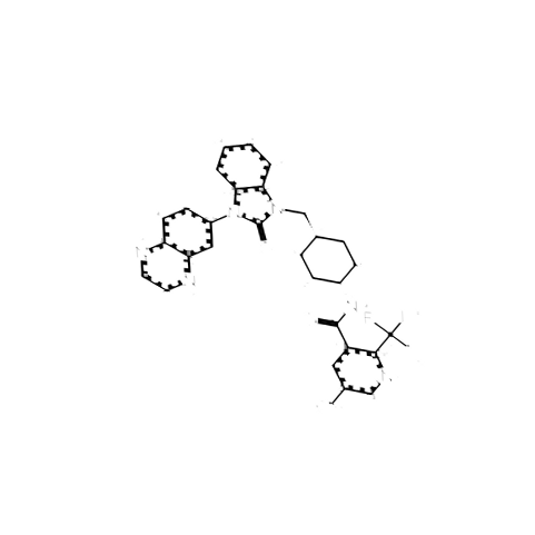 O=C(N[C@H]1CC[C@H](Cn2c(=O)n(-c3ccc4nccnc4c3)c3ccccc32)CC1)c1cc(Cl)cnc1C(F)(F)F